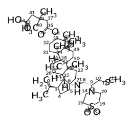 C=C(C)[C@@H]1CC[C@]2(NC[C@H](CSC)N3CCS(=O)(=O)CC3)CC[C@]3(C)[C@H](CC[C@@H]4[C@@]5(C)CC[C@H](OC(=O)CC(C)(C)CC(=O)O)C(C)(C)[C@@H]5CC[C@]43C)[C@@H]12